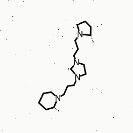 C[C@@H]1CCCCN1CCCN1[C]N(CCCN2CCC[C@@H]2C)CC1